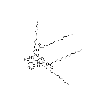 CCCCCCCCCCCCCC(=O)O[C@H](CCCCCCCCCCC)CC(=O)N[C@@H]([C@@H]1OC(C)(C)OC[C@H]1O)[C@H](C=O)NC(=O)C[C@@H](CCCCCCCCCCC)OC(=O)CCCCCCCCCCCCC